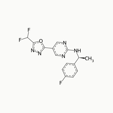 C[C@H](Nc1ncc(-c2nnc(C(F)F)o2)cn1)c1ccc(F)cc1